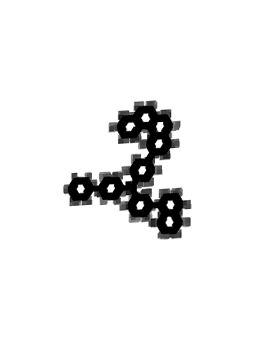 c1ccc(-c2ccc(N(c3ccc(-c4ccc5ccc6ccc7ccccc7c6c5c4)cc3)c3cccc(-c4cccc5ccccc45)c3)cc2)cc1